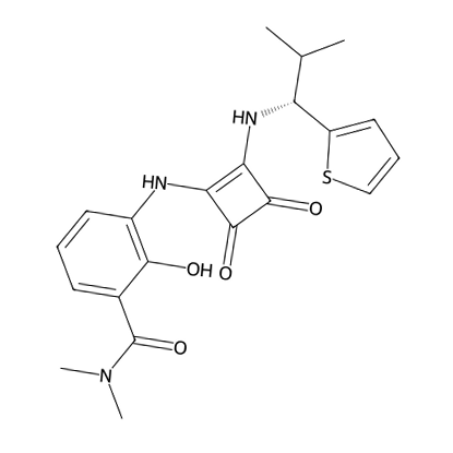 CC(C)[C@@H](Nc1c(Nc2cccc(C(=O)N(C)C)c2O)c(=O)c1=O)c1cccs1